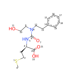 CSCC[C@@H](NC(=O)N(CCO)CCc1ccccc1)C(=O)O